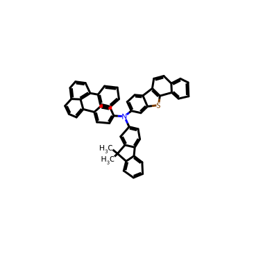 CC1(C)c2ccccc2-c2ccc(N(c3ccc(-c4cccc5cccc(-c6ccccc6)c45)cc3)c3ccc4c(c3)sc3c5ccccc5ccc43)cc21